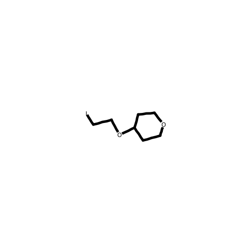 ICCOC1CCOCC1